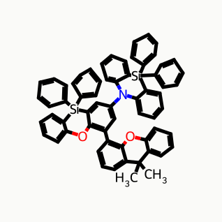 CC1(C)c2ccccc2Oc2c(-c3cc(N4c5ccccc5[Si](c5ccccc5)(c5ccccc5)c5ccccc54)cc4c3Oc3ccccc3[Si]4(c3ccccc3)c3ccccc3)cccc21